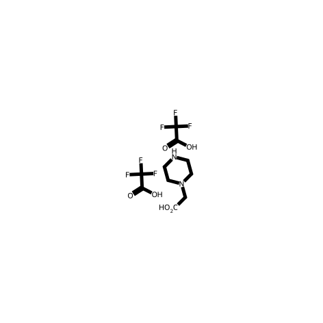 O=C(O)C(F)(F)F.O=C(O)C(F)(F)F.O=C(O)CN1CCNCC1